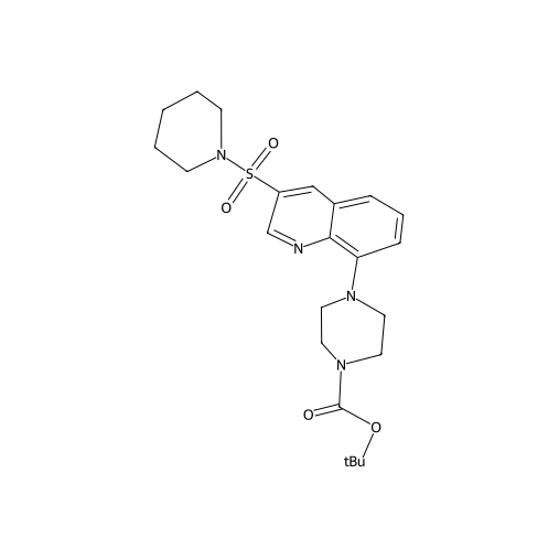 CC(C)(C)OC(=O)N1CCN(c2cccc3cc(S(=O)(=O)N4CCCCC4)cnc23)CC1